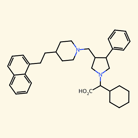 O=C(O)C(C1CCCCC1)N1CC(CN2CCC(CCc3cccc4ccccc34)CC2)C(c2ccccc2)C1